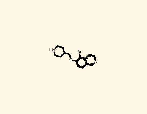 Brc1c(OCC2CCNCC2)ccc2cnccc12